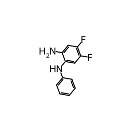 Nc1cc(F)c(F)cc1Nc1ccccc1